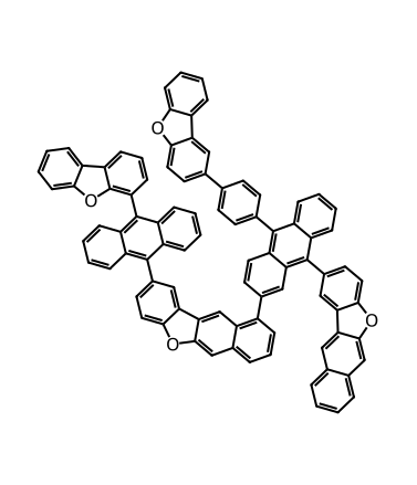 c1ccc2cc3c(cc2c1)oc1ccc(-c2c4ccccc4c(-c4ccc(-c5ccc6oc7ccccc7c6c5)cc4)c4ccc(-c5cccc6cc7oc8ccc(-c9c%10ccccc%10c(-c%10cccc%11c%10oc%10ccccc%10%11)c%10ccccc9%10)cc8c7cc56)cc24)cc13